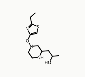 CCc1nc(ON2CCNC(CC(C)O)C2)cs1